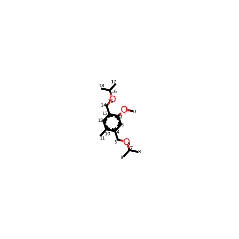 COc1cc(COC(C)C)c(C)cc1COC(C)C